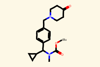 CN(C(=O)OC(C)(C)C)C(c1ccc(CN2CCC(=O)CC2)cc1)C1CC1